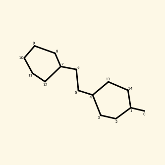 CC1CCC(CCC2CC[CH]CC2)CC1